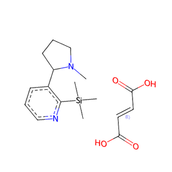 CN1CCCC1c1cccnc1[Si](C)(C)C.O=C(O)/C=C/C(=O)O